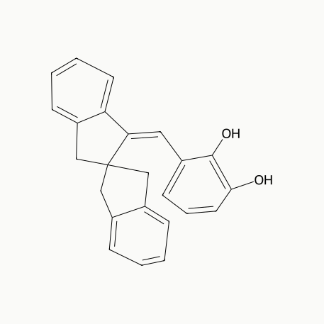 Oc1cccc(/C=C2/c3ccccc3CC23Cc2ccccc2C3)c1O